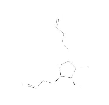 C=CCOC[C@H]1O[C@H](OCC=C)[C@H](O)[C@H]1O